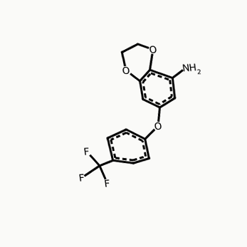 Nc1cc(Oc2ccc(C(F)(F)F)cc2)cc2c1OCCO2